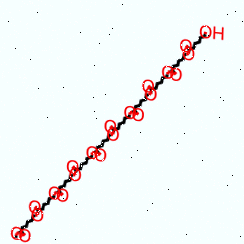 COC(=O)CCCCCOC(=O)CCCCCOC(=O)CCCCCOC(=O)CCCCCOC(=O)CCCCCOC(=O)CCCCCOC(=O)CCCCCOC(=O)CCCCCOC(=O)CCCCCOC(=O)CCCCCO